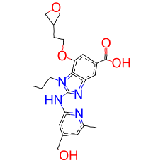 CCCn1c(Nc2cc(CO)cc(C)n2)nc2cc(C(=O)O)cc(OCCC3COC3)c21